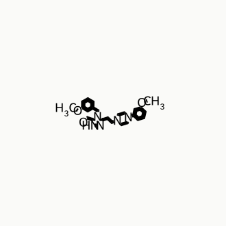 COc1cccc(CN2C(CCN3CCN(c4cccc(OC)c4)CC3)=NNC2C=O)c1